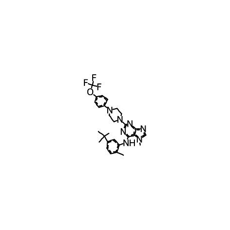 Cc1ccc(C(C)(C)C)cc1Nc1nc(N2CCN(c3ccc(OC(F)(F)F)cc3)CC2)nc2ncn(C)c12